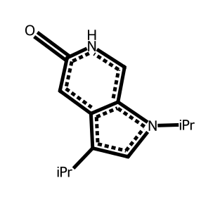 CC(C)c1cn(C(C)C)c2c[nH]c(=O)cc12